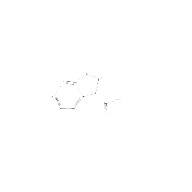 C=C(C(=O)O)C1CCc2ccccc21